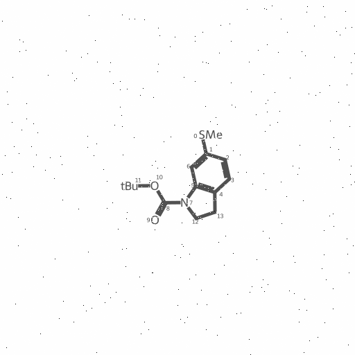 CSc1ccc2c(c1)N(C(=O)OC(C)(C)C)CC2